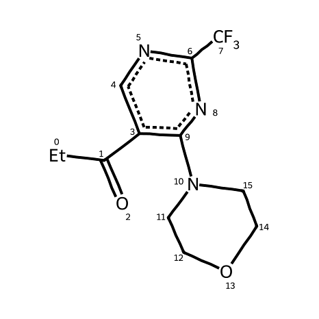 CCC(=O)c1cnc(C(F)(F)F)nc1N1CCOCC1